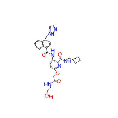 O=C(COc1ccc(NC(=O)c2ccc(Cn3ccnn3)c3ccccc23)c(C(=O)NCC2CCC2)n1)NCCO